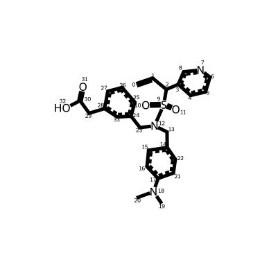 C=CC(c1cccnc1)S(=O)(=O)N(Cc1ccc(N(C)C)cc1)Cc1cccc(CC(=O)O)c1